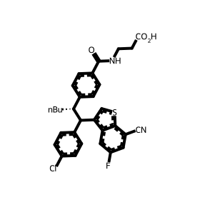 CCCC[C@H](c1ccc(C(=O)NCCC(=O)O)cc1)C(c1ccc(Cl)cc1)c1csc2c(C#N)cc(F)cc12